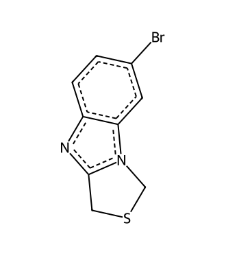 Brc1ccc2nc3n(c2c1)CSC3